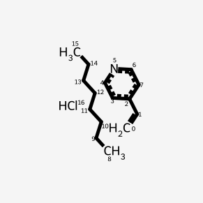 C=Cc1ccncc1.CCCCCCCC.Cl